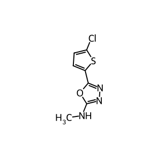 CNc1nnc(-c2ccc(Cl)s2)o1